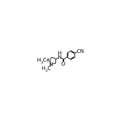 CN1CC(NC(=O)c2ccc(C#N)cc2)CN1C